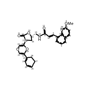 COc1ccc2cccc(/C=C/C(=O)NC[C@@H]3CN(C4=COC=C(C5=CC=CCC5)O4)C(=O)O3)c2n1